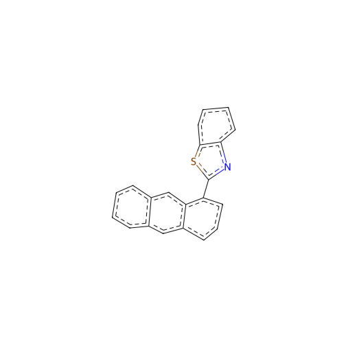 c1ccc2cc3c(-c4nc5ccccc5s4)cccc3cc2c1